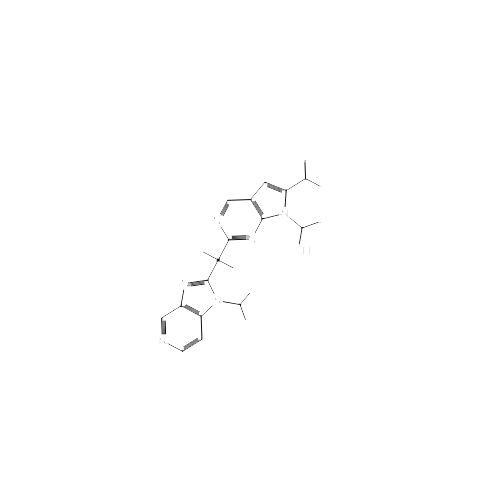 CC(C)c1cc2cnc(C(C)(C)c3nc4cnccc4n3C(C)C)nc2n1C(C)C